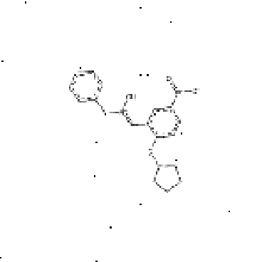 O=[N+]([O-])c1ccc(SC2CCCC2)c(/C=[N+](\O)Cc2ccccc2)c1